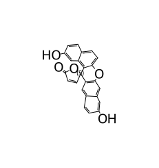 O=C1C=C[C@]2(O1)c1cc3ccc(O)cc3cc1Oc1ccc3ccc(O)cc3c12